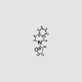 c1ccc2c(c1)CCN(C1CCCO1)C2